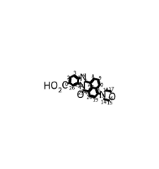 O=C(O)c1ccc2nc3c4cccc5c(N6CCOCC6)ccc(c(=O)n3c2c1)c54